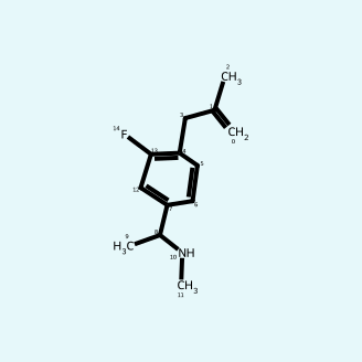 C=C(C)Cc1ccc(C(C)NC)cc1F